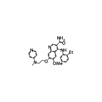 CCc1ccccc1Nc1c(C(N)=O)cnc2cc(OCCN(C)c3ccncc3)c(OC)cc12